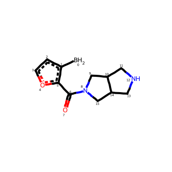 Bc1ccoc1C(=O)N1CC2CNCC2C1